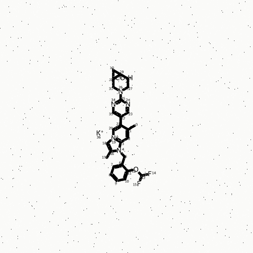 Cc1cc2n(Cc3ccccc3OC(F)F)c(C)c[n+]2cc1-c1cnc(N2CCC3CC3(C(=O)O)C2)nc1.[K+]